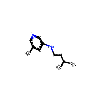 Cc1cncc(NCCC(C)C)c1